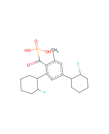 Cc1cc(C2CCCCC2F)cc(C2CCCCC2F)c1C(=O)P(=O)(O)O